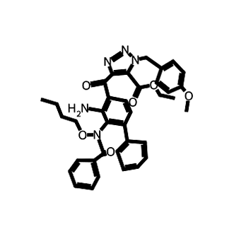 CCCCON(C(=O)c1ccccc1)c1c(-c2ccccc2)ccc(C(=O)c2nnn(Cc3ccc(OC)cc3)c2C(=O)OCC)c1N